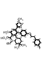 Cc1nc(-c2cn(C)nn2)c(-c2ccc(OCCc3ccc(F)cc3)cc2)c(N2CCC(C)(C)CC2)c1C(OC(C)(C)C)C(=O)O